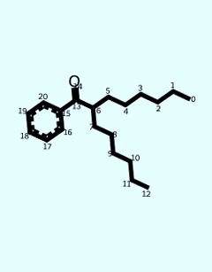 CCCCCCC(CCCCCC)C(=O)c1ccccc1